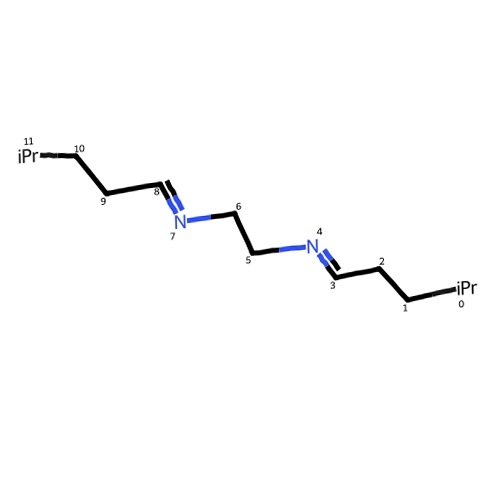 CC(C)CCC=NCCN=CCCC(C)C